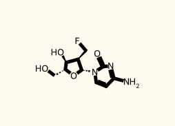 Nc1ccn([C@@H]2O[C@H](CO)[C@@H](O)[C@H]2CF)c(=O)n1